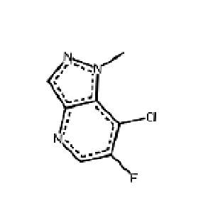 Cn1ncc2ncc(F)c(Cl)c21